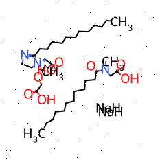 CCCCCCCCCCCC(=O)N(C)CC(=O)O.CCCCCCCCCCCCC1=NCC[N+]1(CC(=O)O)C(C)OCC(=O)O.[NaH].[NaH]